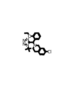 CCOc1ccccc1C(c1nnnn1C(C)(C)C)N1CCc2ccc(Cl)cc2C1